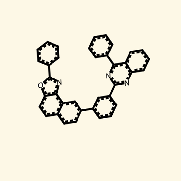 c1ccc(-c2nc3c(ccc4ccc(-c5cccc(-c6nc(-c7ccccc7)c7ccccc7n6)c5)cc43)o2)cc1